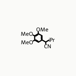 COc1cc(C(C#N)C(C)C)cc(OC)c1OC